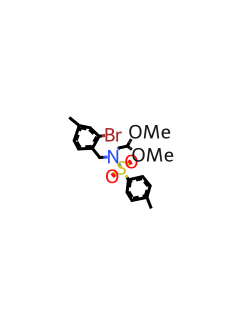 COC(CN(Cc1ccc(C)cc1Br)S(=O)(=O)c1ccc(C)cc1)OC